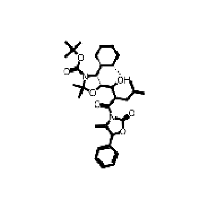 CC(C)CC(C(=O)N1C(=O)OC(c2ccccc2)C1C)C(O)C1OC(C)(C)N(C(=O)OC(C)(C)C)[C@@H]1[C@H]1CCCC[C@@H]1C